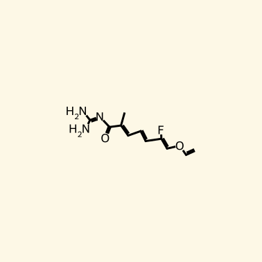 C=CO/C=C(F)/C=C/C=C(\C)C(=O)N=C(N)N